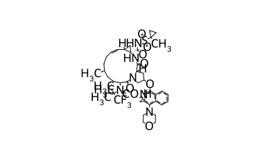 C[C@H]1CCC=C[C@@H]2C[C@@]2(C(=O)NS(=O)(=O)C2(C)CC2)NC(=O)[C@@H]2C[C@@H](Oc3ncc(N4CCOCC4)c4ccccc34)CN2C(=O)[C@@H](N(C(=O)O)C(C)(C)C(F)(F)F)[C@H](C)C1